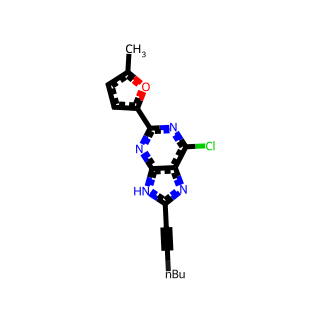 CCCCC#Cc1nc2c(Cl)nc(-c3ccc(C)o3)nc2[nH]1